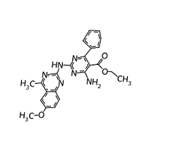 CCOC(=O)c1c(N)nc(Nc2nc(C)c3cc(OC)ccc3n2)nc1-c1ccccc1